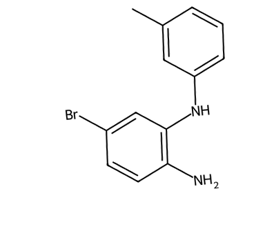 Cc1cccc(Nc2cc(Br)ccc2N)c1